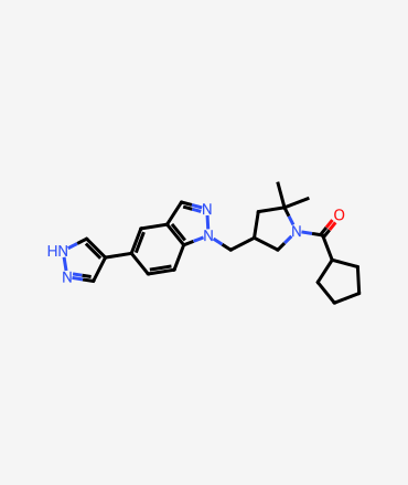 CC1(C)CC(Cn2ncc3cc(-c4cn[nH]c4)ccc32)CN1C(=O)C1CCCC1